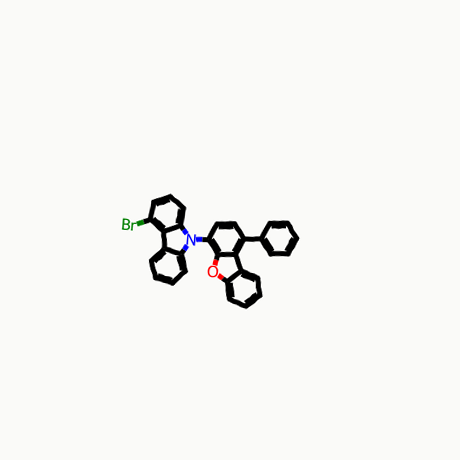 Brc1cccc2c1c1ccccc1n2-c1ccc(-c2ccccc2)c2c1oc1ccccc12